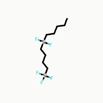 CCCCC[Si](F)(F)CCCC[Si](F)(F)F